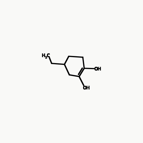 CCC1CCC(O)=C(O)C1